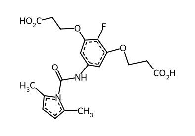 Cc1ccc(C)n1C(=O)Nc1cc(OCCC(=O)O)c(F)c(OCCC(=O)O)c1